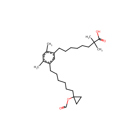 Cc1cc(C)c(CCCCCCC(C)(C)C(=O)O)cc1CCCCCCC1(OC=O)CC1